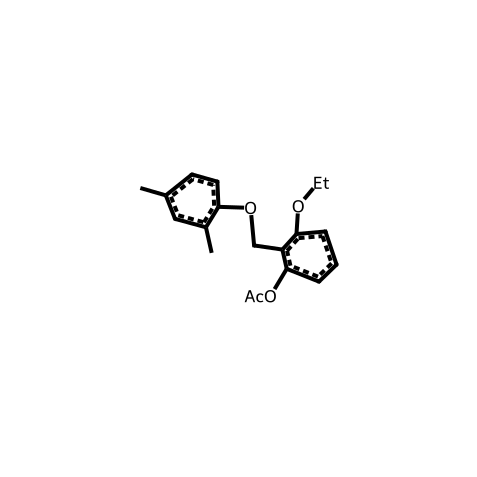 CCOc1cccc(OC(C)=O)c1COc1ccc(C)cc1C